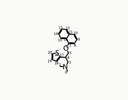 CN(C)CC(COc1cccc2ccccc12)c1cccs1